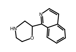 c1ccc2c(C3CNCCO3)nccc2c1